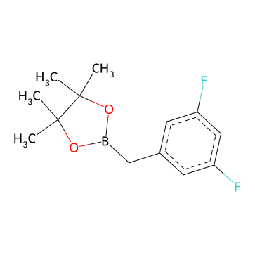 CC1(C)OB(Cc2cc(F)cc(F)c2)OC1(C)C